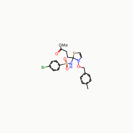 COC(=O)CCC1(NS(=O)(=O)c2ccc(Br)cc2)SC=CN1OCc1ccc(C)cc1